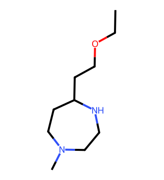 CCOCCC1CCN(C)CCN1